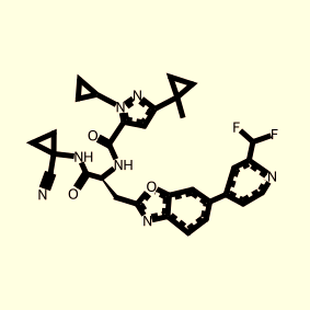 CC1(c2cc(C(=O)N[C@@H](Cc3nc4ccc(-c5ccnc(C(F)F)c5)cc4o3)C(=O)NC3(C#N)CC3)n(C3CC3)n2)CC1